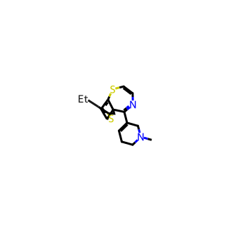 CCC1=S=C2C=CC=C3SC=CN=C(C4=CCCN(C)C4)C32C1